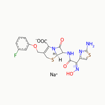 Nc1nc(/C(=N/O)C(=O)NC2C(=O)N3C(C(=O)[O-])=C(COc4cccc(F)c4)CS[C@H]23)cs1.[Na+]